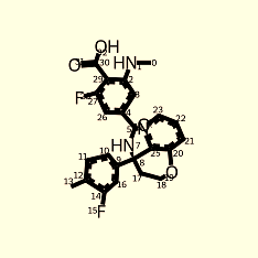 CNc1cc(C(=O)N[C@]2(c3ccc(C)c(F)c3)CCOc3cccnc32)cc(F)c1C(=O)O